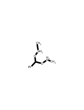 [CH2]C(C)C(O[SiH2]C)O[SiH2]C